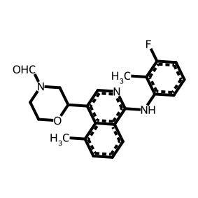 Cc1c(F)cccc1Nc1ncc(C2CN(C=O)CCO2)c2c(C)cccc12